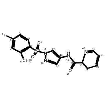 Cc1cc(F)ccc1S(=O)(=O)n1cc(NC(=O)C2CC=CC=N2)cn1